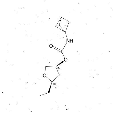 CC[C@@H]1C[C@H](OC(=O)NC23CC(C2)C3)CO1